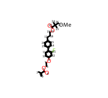 C=C(C)C(=O)OCCOc1ccc(-c2ccc(CCCOC(=O)C(C)(C)COC)cc2)c(F)c1